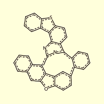 c1ccc2c(c1)cc1oc3ccc4cc3c1c2c1nc(c2ccccc42)c2ccc3sc4ccccc4c3c2n1